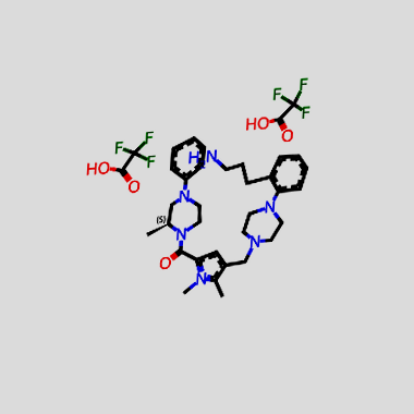 Cc1c(CN2CCN(c3ccccc3CCCN)CC2)cc(C(=O)N2CCN(c3ccccc3)C[C@@H]2C)n1C.O=C(O)C(F)(F)F.O=C(O)C(F)(F)F